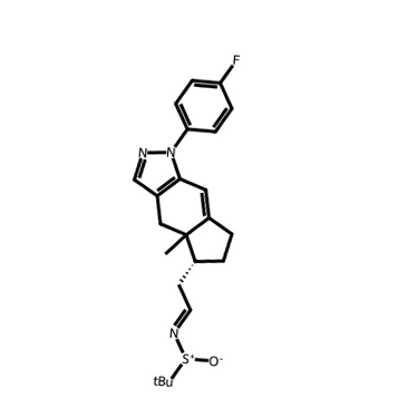 CC12Cc3cnn(-c4ccc(F)cc4)c3C=C1CC[C@@H]2C/C=N/[S+]([O-])C(C)(C)C